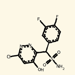 NS(=O)(=O)C(c1ccc(F)c(F)c1)c1nnc(Cl)cc1O